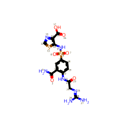 NC(=O)c1cc(S(=O)(=O)Nc2scnc2C(=O)O)ccc1NC(=O)CN=C(N)N